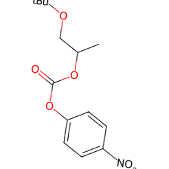 CC(COC(C)(C)C)OC(=O)Oc1ccc([N+](=O)[O-])cc1